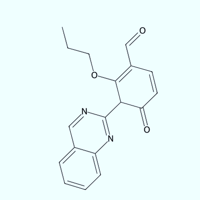 CCCOC1=C(C=O)C=CC(=O)C1c1ncc2ccccc2n1